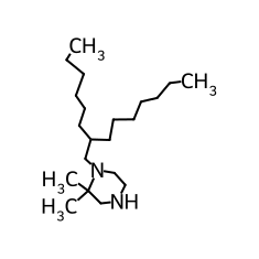 CCCCCCCC(CCCCCC)CN1CCNCC1(C)C